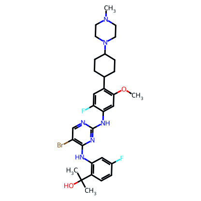 COc1cc(Nc2ncc(Br)c(Nc3cc(F)ccc3C(C)(C)O)n2)c(F)cc1C1CCC(N2CCN(C)CC2)CC1